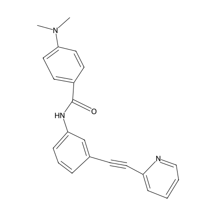 CN(C)c1ccc(C(=O)Nc2cccc(C#Cc3ccccn3)c2)cc1